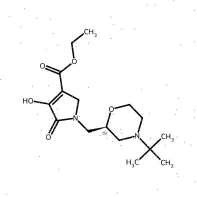 CCOC(=O)C1=C(O)C(=O)N(C[C@@H]2CN(C(C)(C)C)CCO2)C1